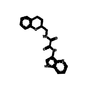 O=C(NCC1CCc2ccccc2O1)C(=O)Nc1c[nH]c2cccnc12